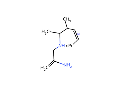 C=C(N)CNC(C)C(C)/C=C\CCC